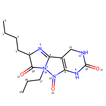 CCCCC1N=C2C3=C(NC(=O)NC3)[N+](=O)[N+]2(CCC)C1=O